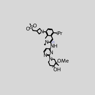 C=N/C(=C\c1c(C(C)C)ccc(N2CC(CS(C)(=O)=O)C2)c1C)Nc1ccnc(N2CC[C@@H](O)[C@@](C)(OC)C2)n1